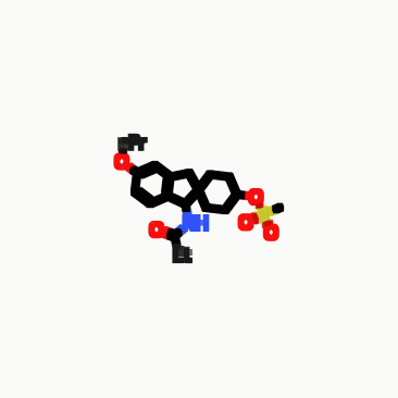 CCCOc1ccc2c(c1)CC1(CCC(OS(C)(=O)=O)CC1)C2NC(=O)CC